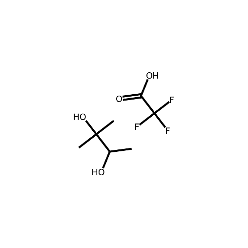 CC(O)C(C)(C)O.O=C(O)C(F)(F)F